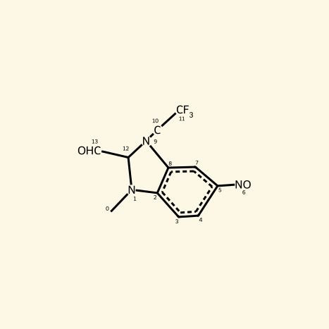 CN1c2ccc(N=O)cc2N(CC(F)(F)F)C1C=O